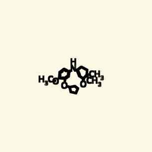 COc1ccc(NC2=CC(=O)C(C)(C)CC2)cc1OC1CCCC1